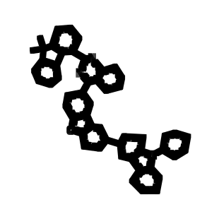 CC1(C)c2ccccc2-c2c(-c3nc(-c4ccc5oc6ccc(-c7ccc8c(c7)c7ccccc7n8-c7ccccc7)cc6c5c4)c4ccccc4n3)cccc21